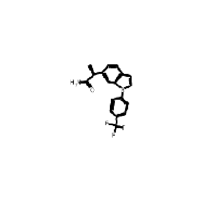 C=C(C(N)=O)c1ccc2ccn(-c3ccc(C(F)(F)F)cc3)c2c1